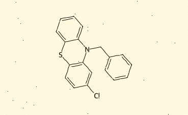 Clc1ccc2c(c1)N(Cc1ccccc1)c1ccccc1S2